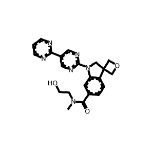 CN(CCO)C(=O)c1ccc2c(c1)N(c1ncc(-c3ncccn3)cn1)CC21COC1